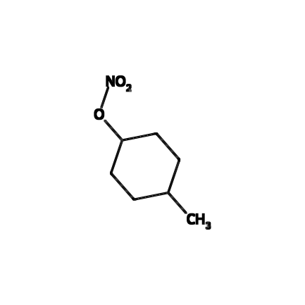 CC1CCC(O[N+](=O)[O-])CC1